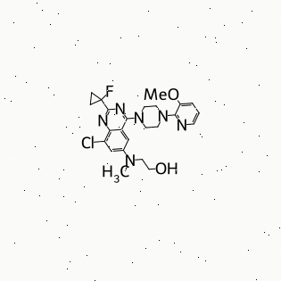 COc1cccnc1N1CCN(c2nc(C3(F)CC3)nc3c(Cl)cc(N(C)CCO)cc23)CC1